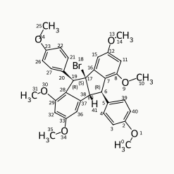 COc1ccc([C@@H]2c3c(OC)cc(OC)cc3[C@@]3(Br)[C@H](c4ccc(OC)cc4)c4c(OC)cc(OC)cc4[C@@H]23)cc1